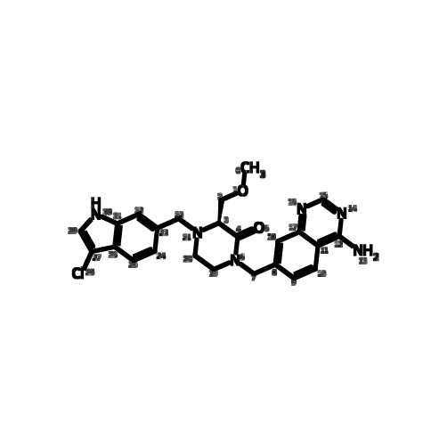 COC[C@H]1C(=O)N(Cc2ccc3c(N)ncnc3c2)CCN1Cc1ccc2c(Cl)c[nH]c2c1